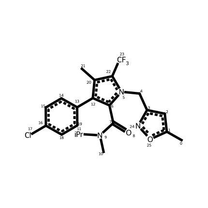 Cc1cc(Cn2c(C(=O)N(C)C(C)C)c(-c3ccc(Cl)cc3)c(C)c2C(F)(F)F)no1